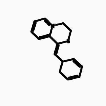 C1=CCC(/C=C2\SCC[n+]3ccccc32)C=C1